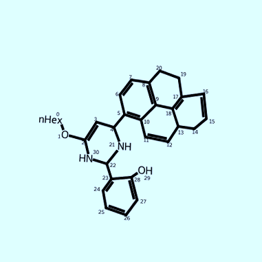 CCCCCCOC1=CC(c2ccc3c4c2C=CC2CC=CC(=C42)CC3)NC(c2ccccc2O)N1